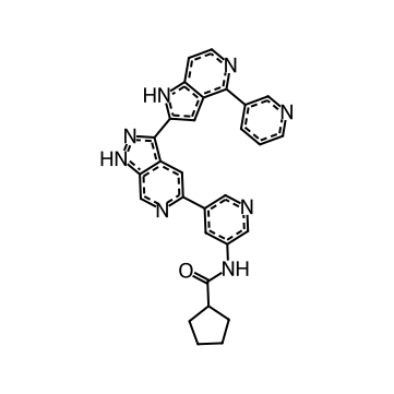 O=C(Nc1cncc(-c2cc3c(-c4cc5c(-c6cccnc6)nccc5[nH]4)n[nH]c3cn2)c1)C1CCCC1